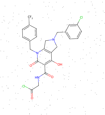 O=C(Cl)CNC(=O)c1c(O)c2c(n(Cc3ccc(C(F)(F)F)cc3)c1=O)CN(Cc1cccc(Cl)c1)C2